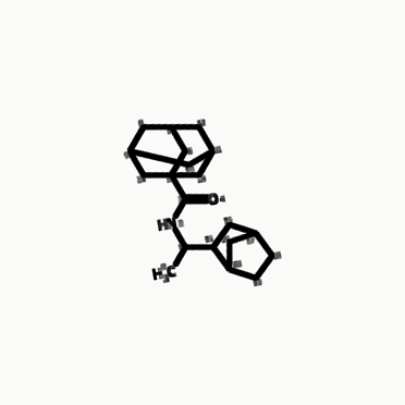 CC(NC(=O)C12CC3CC(CC(C3)C1)C2)C1CC2CCC1C2